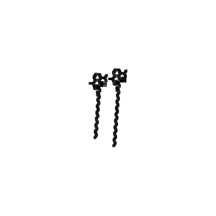 CCCCCCCCCCCCCCCCCCSCC(=O)Nc1c(C(C)C)cccc1C(C)C.CCCCCCCCCCCCCCSCC(=O)Nc1c(C(C)C)cccc1C(C)C